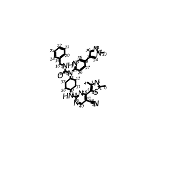 Cc1nc(C)c(-c2nc(NC3CCC(N(C(=O)NCc4ccccc4)c4ccc(-c5cnn(C)c5)cn4)CC3)ncc2C#N)s1